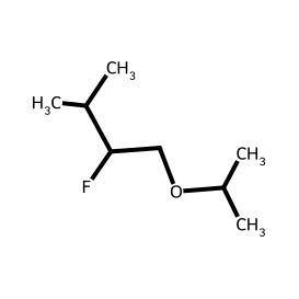 CC(C)OCC(F)C(C)C